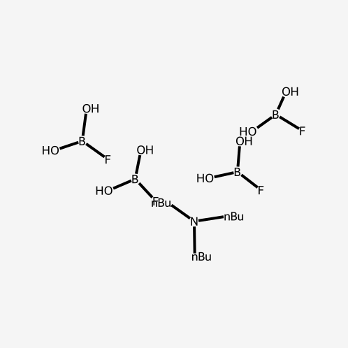 CCCCN(CCCC)CCCC.OB(O)F.OB(O)F.OB(O)F.OB(O)F